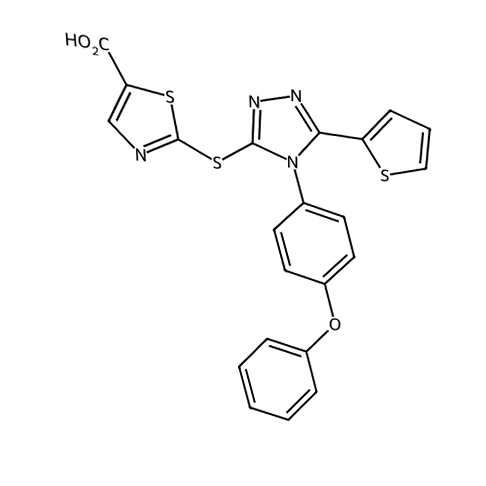 O=C(O)c1cnc(Sc2nnc(-c3cccs3)n2-c2ccc(Oc3ccccc3)cc2)s1